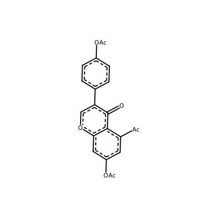 CC(=O)Oc1ccc(-c2coc3cc(OC(C)=O)cc(C(C)=O)c3c2=O)cc1